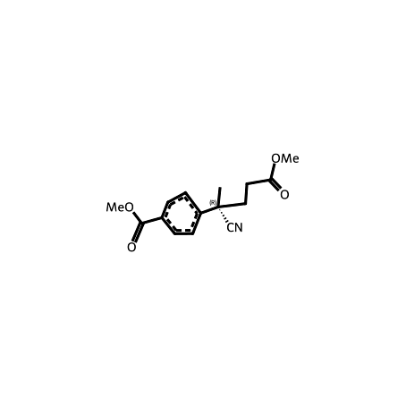 COC(=O)CC[C@@](C)(C#N)c1ccc(C(=O)OC)cc1